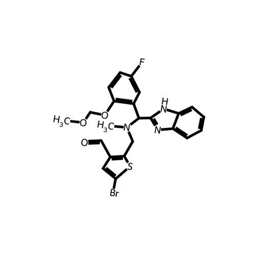 COCOc1ccc(F)cc1C(c1nc2ccccc2[nH]1)N(C)Cc1sc(Br)cc1C=O